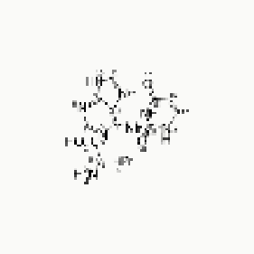 CC(C)[C@H](N)C(=O)O.Nc1ncnc2[nH]cnc12.O=c1cc[nH]c(=O)[nH]1